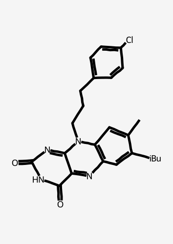 CCC(C)c1cc2nc3c(=O)[nH]c(=O)nc-3n(CCCc3ccc(Cl)cc3)c2cc1C